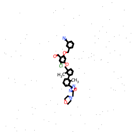 Cc1c(COc2cc(OCc3cccc(C#N)c3)c(C=O)cc2Cl)cccc1-c1cccc(-c2noc(CN3CCOCC3)n2)c1C